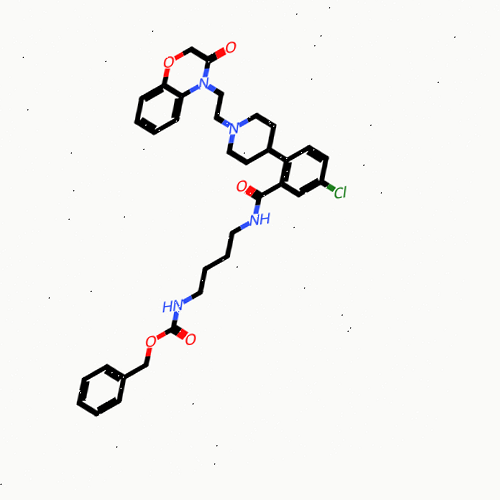 O=C(NCCCCNC(=O)c1cc(Cl)ccc1C1CCN(CCN2C(=O)COc3ccccc32)CC1)OCc1ccccc1